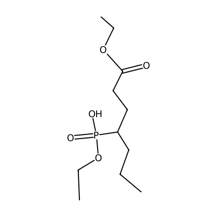 CCCC(CCC(=O)OCC)P(=O)(O)OCC